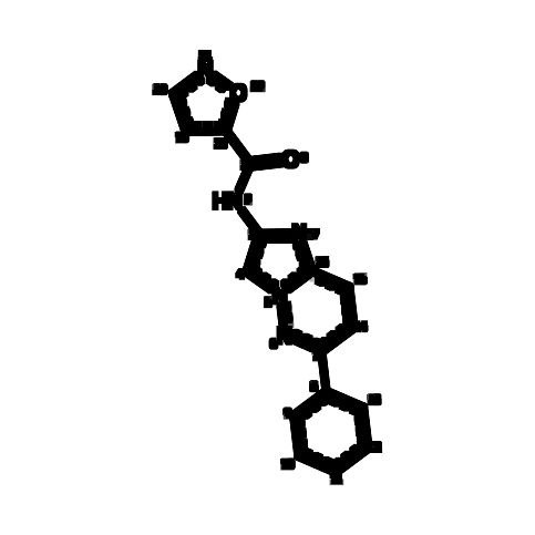 O=C(Nc1cn2nc(-c3ccccc3)ccc2n1)c1ccno1